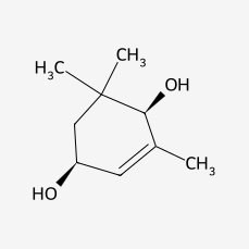 CC1=C[C@@H](O)CC(C)(C)[C@H]1O